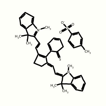 CN1C(=CC=C2CCC(C=CC3=[N+](C)c4ccccc4C3(C)C)=C2C2=CC=CCC2=S)C(C)(C)c2ccccc21.Cc1ccc(S(=O)(=O)[O-])cc1